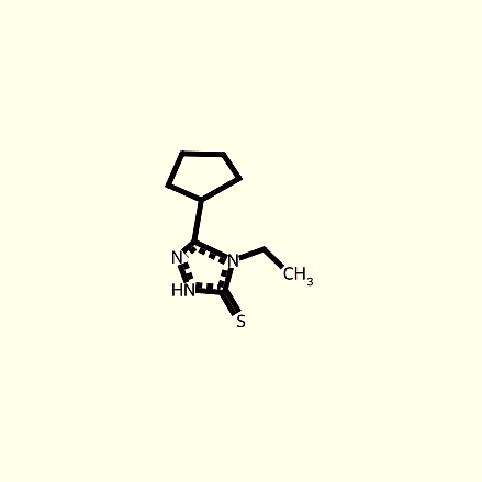 CCn1c(C2CCCC2)n[nH]c1=S